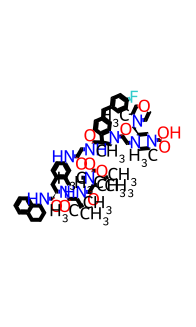 CC(C(=O)NC(C(=O)N1Cc2cc(NC(=O)CNC(=O)[C@@]3(C)CN(C(=O)CN4C[C@@H](C)N(C(=O)O)C[C@@H]4CN4CCOC[C@H]4C)c4cc(Cc5ccc(F)cc5)ccc43)ccc2C[C@H]1C(=O)N[C@@H]1CCCc2ccccc21)C(C)(C)C)N(C)C(=O)OC(C)(C)C